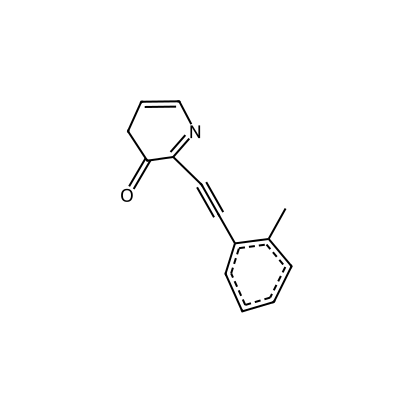 Cc1ccccc1C#CC1=NC=CCC1=O